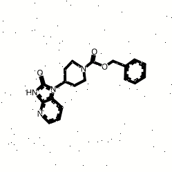 O=C(OCc1ccccc1)N1CCC(n2c(=O)[nH]c3ncccc32)CC1